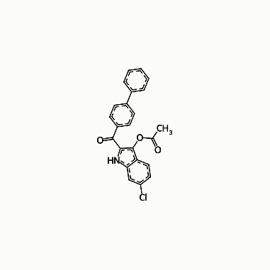 CC(=O)Oc1c(C(=O)c2ccc(-c3ccccc3)cc2)[nH]c2cc(Cl)ccc12